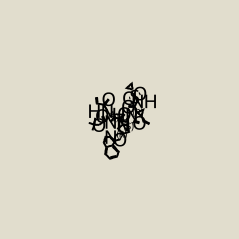 C=CC(=O)NC[C@H](NC(=O)OC(C)(C)C)C(=O)N1C[C@H](Oc2nccc3ccccc23)C[C@H]1C(=O)N[C@]1(C(=O)NS(=O)(=O)C2CC2)CC1C=C